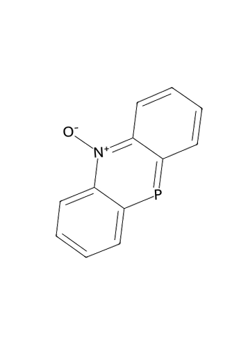 [O-][n+]1c2ccccc2pc2ccccc21